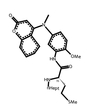 CCCCCCCN[C@@H](CCSC)C(=O)Nc1cc(N(C)c2cc(=O)oc3ccccc23)ccc1OC